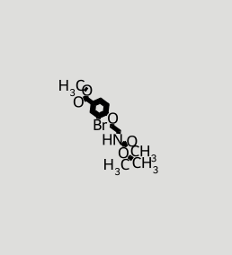 COC(=O)c1ccc(OCCNC(=O)OC(C)(C)C)c(Br)c1